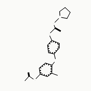 Cc1cc(NC(=O)O)ccc1Oc1ccc(NC(=O)NN2CCCC2)cc1